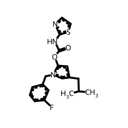 CC(C)Cc1cc(OC(=O)Nc2nccs2)n(Cc2cccc(F)c2)c1